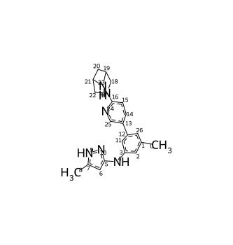 Cc1cc(Nc2cc(C)[nH]n2)cc(-c2ccc(N3CC4CC(C3)N4)nc2)c1